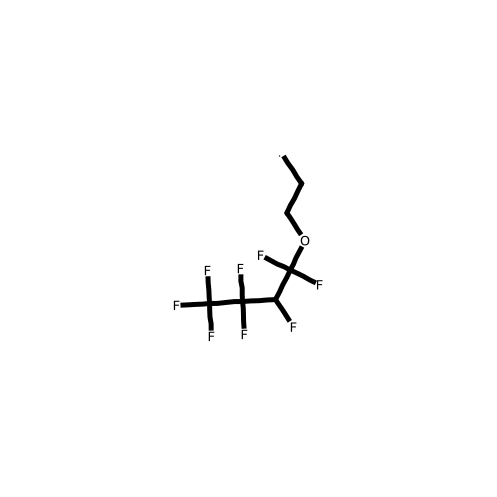 [CH2]CCOC(F)(F)C(F)C(F)(F)C(F)(F)F